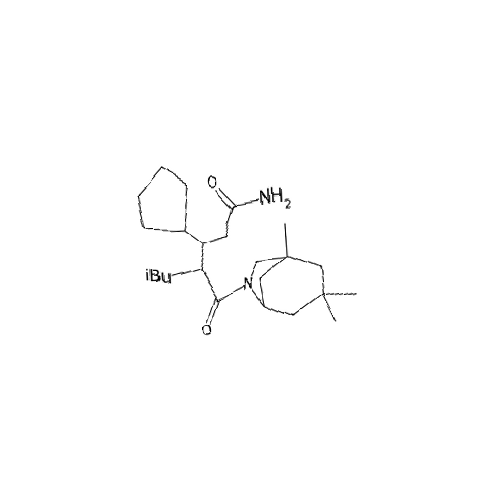 CCC(C)C(C(=O)N1CC2(C)CC1CC(C)(C)C2)C(CC(N)=O)C1CCCC1